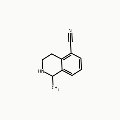 CC1NCCc2c(C#N)cccc21